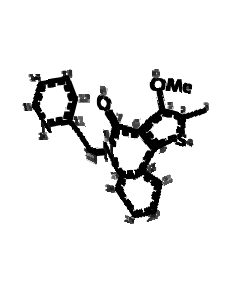 COc1c(C)sc2c1c(=O)n(Cc1ccccn1)c1ccccc21